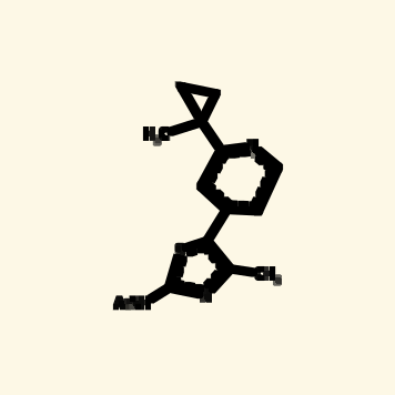 CC(=O)Nc1nc(C)c(-c2ccnc(C3(C)CC3)c2)s1